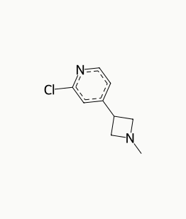 CN1CC(c2ccnc(Cl)c2)C1